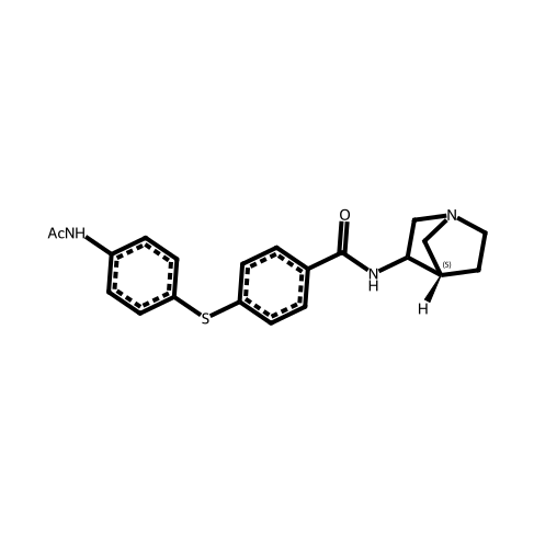 CC(=O)Nc1ccc(Sc2ccc(C(=O)NC3CN4CC[C@H]3C4)cc2)cc1